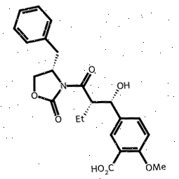 CC[C@H](C(=O)N1C(=O)OC[C@@H]1Cc1ccccc1)[C@H](O)c1ccc(OC)c(C(=O)O)c1